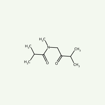 CC(C)C(=O)CN(C)C(=O)C(C)C